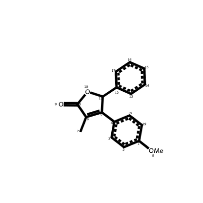 COc1ccc(C2=C(C)C(=O)OC2c2ccccc2)cc1